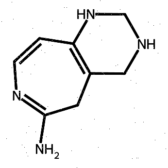 NC1=NC=CC2=C(CNCN2)C1